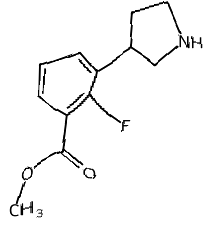 COC(=O)c1cccc(C2CCNC2)c1F